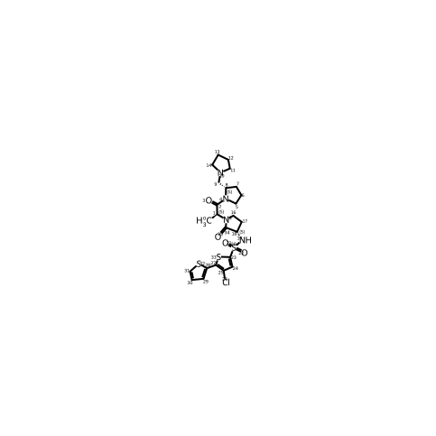 C[C@@H](C(=O)N1CCC[C@H]1CN1CCCC1)N1CC[C@H](NS(=O)(=O)c2cc(Cl)c(-c3cccs3)s2)C1=O